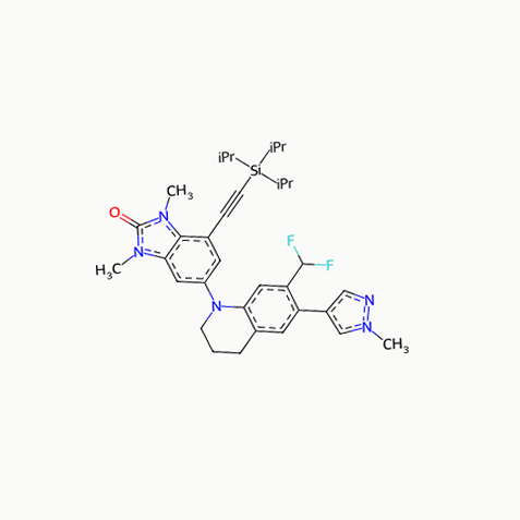 CC(C)[Si](C#Cc1cc(N2CCCc3cc(-c4cnn(C)c4)c(C(F)F)cc32)cc2c1n(C)c(=O)n2C)(C(C)C)C(C)C